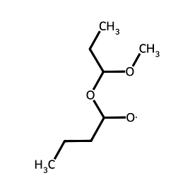 CCCC([O])OC(CC)OC